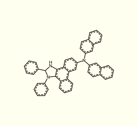 c1ccc(C2Nc3c(c4ccccc4c4cc(N(c5ccc6ccccc6c5)c5ccc6ccccc6c5)ccc34)N2c2ccccc2)cc1